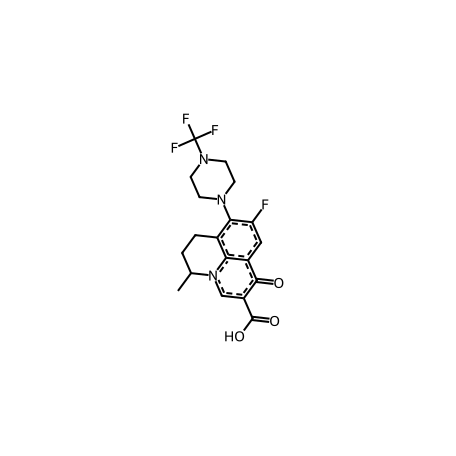 CC1CCc2c(N3CCN(C(F)(F)F)CC3)c(F)cc3c(=O)c(C(=O)O)cn1c23